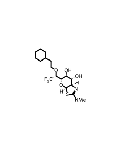 CNC1=N[C@@H]2[C@@H](O)[C@H](O)[C@@H]([C@@H](OCCC3CCCCC3)C(F)(F)F)O[C@@H]2S1